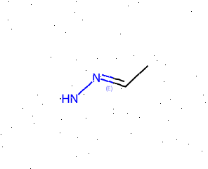 C/C=N/[NH]